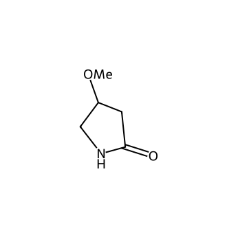 COC1CNC(=O)C1